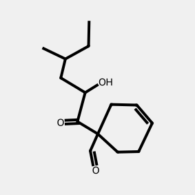 CCC(C)CC(O)C(=O)C1(C=O)CC=CCC1